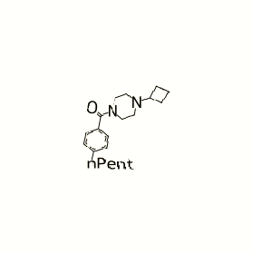 CCCCCc1ccc(C(=O)N2CCN(C3CCC3)CC2)cc1